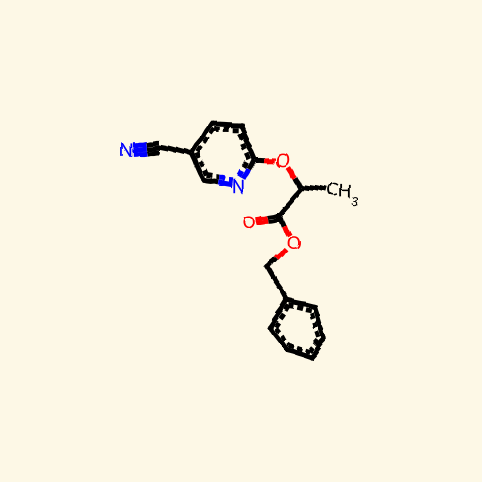 CC(Oc1ccc(C#N)cn1)C(=O)OCc1ccccc1